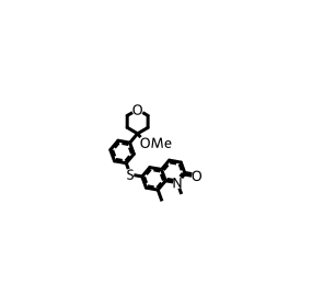 COC1(c2cccc(Sc3cc(C)c4c(ccc(=O)n4C)c3)c2)CCOCC1